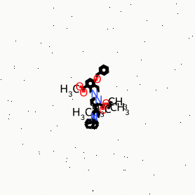 COC(=O)c1ccc(OCc2ccccc2)c2c1CN(c1ccc(-c3ccn(C45CC6CC(CC(C6)C4)C5)c3C)c(C(=O)OC(C)(C)C)n1)CC2